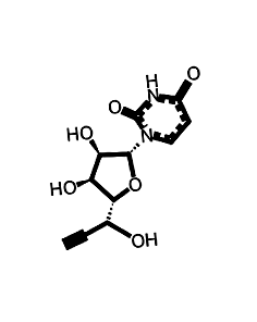 C#CC(O)[C@H]1O[C@@H](n2ccc(=O)[nH]c2=O)[C@H](O)[C@@H]1O